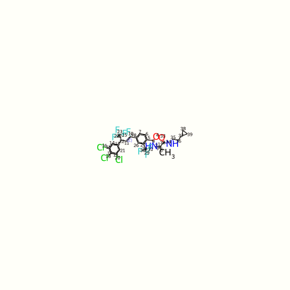 C[C@@H](NC(=O)c1ccc(/C(F)=C/C(c2cc(Cl)c(Cl)c(Cl)c2)C(F)(F)F)cc1C(F)(F)F)C(=O)NCCC1CC1